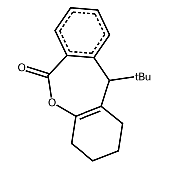 CC(C)(C)C1C2=C(CCCC2)OC(=O)c2ccccc21